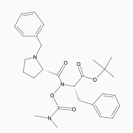 CN(C)C(=O)ON(C(=O)[C@@H]1CCCN1Cc1ccccc1)[C@@H](Cc1ccccc1)C(=O)OC(C)(C)C